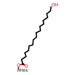 CCCCCCOC(=O)CCCCCCCCCCCCCCCCCO